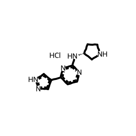 Cl.c1cc(-c2cn[nH]c2)nc(N[C@@H]2CCNC2)n1